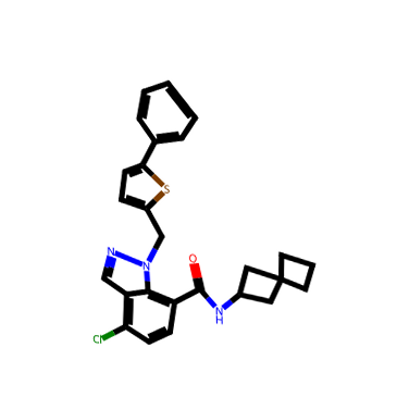 O=C(NC1CC2(CCC2)C1)c1ccc(Cl)c2cnn(Cc3ccc(-c4ccccc4)s3)c12